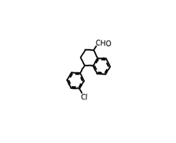 O=CC1CCC(c2cccc(Cl)c2)c2ccccc21